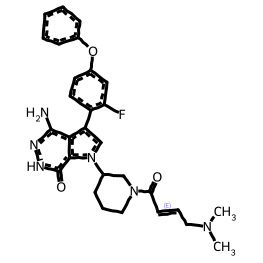 CN(C)C/C=C/C(=O)N1CCCC(n2cc(-c3ccc(Oc4ccccc4)cc3F)c3c(N)n[nH]c(=O)c32)C1